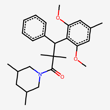 COc1cc(C)cc(OC)c1C(c1ccccc1)C(C)(C)C(=O)N1CC(C)CC(C)C1